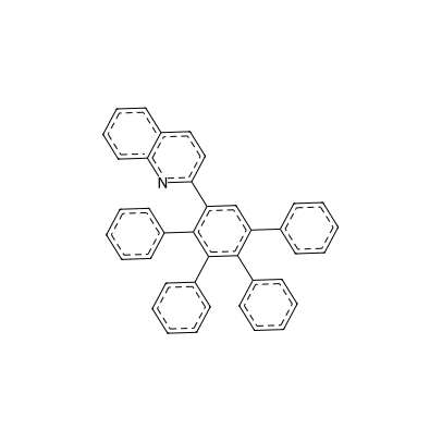 c1ccc(-c2cc(-c3ccc4ccccc4n3)c(-c3ccccc3)c(-c3ccccc3)c2-c2ccccc2)cc1